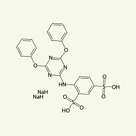 O=S(=O)(O)c1ccc(Nc2nc(Oc3ccccc3)nc(Oc3ccccc3)n2)c(S(=O)(=O)O)c1.[NaH].[NaH]